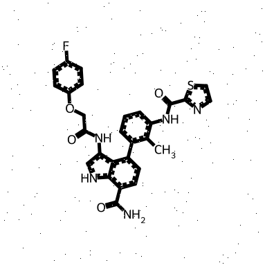 Cc1c(NC(=O)c2nccs2)cccc1-c1ccc(C(N)=O)c2[nH]cc(NC(=O)COc3ccc(F)cc3)c12